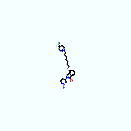 O=C1c2cccc(SCCCCCCCN3CCC(F)(F)CC3)c2CN1C1CCCNC1